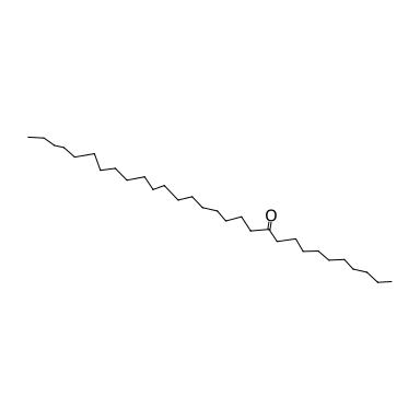 CCCCCCCCCCCCCCCCCCCC(=O)CCCCCCCCCC